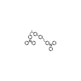 CC(Cc1ccc(N(c2ccccc2)c2ccccc2)cc1)c1ccc(-c2ccc(CCc3ccc(N(c4ccccc4)c4ccccc4)cc3)cc2)cc1